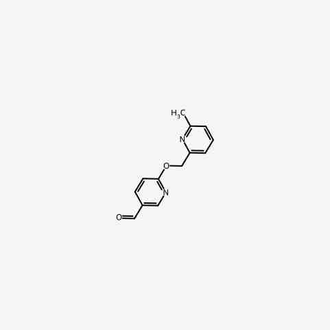 Cc1cccc(COc2ccc(C=O)cn2)n1